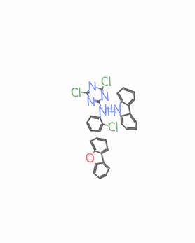 Clc1nc(Cl)nc(Nc2ccccc2Cl)n1.c1ccc2c(c1)[nH]c1ccccc12.c1ccc2c(c1)oc1ccccc12